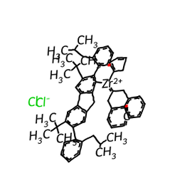 CC(C)Cc1ccccc1-c1cc2c(cc1C(C)(C)C)-c1cc(C(C)(C)C)c(-c3ccccc3CC(C)C)[c]([Zr+2]([C]3=CC=CC3)=[C](Cc3ccccc3)Cc3ccccc3)c1C2.[Cl-].[Cl-]